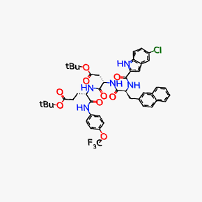 CC(C)(C)OC(=O)CC[C@H](NC(=O)[C@H](CC(=O)OC(C)(C)C)NC(=O)[C@H](Cc1ccc2ccccc2c1)NC(=O)c1cc2cc(Cl)ccc2[nH]1)C(=O)Nc1ccc(OC(F)(F)F)cc1